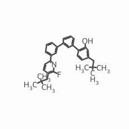 CC(C)(C)Cc1ccc(-c2cccc(-c3cccc(-c4ccc(CC(C)(C)C)c(F)n4)c3)c2)c(O)c1